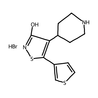 Br.Oc1nsc(-c2ccsc2)c1C1CCNCC1